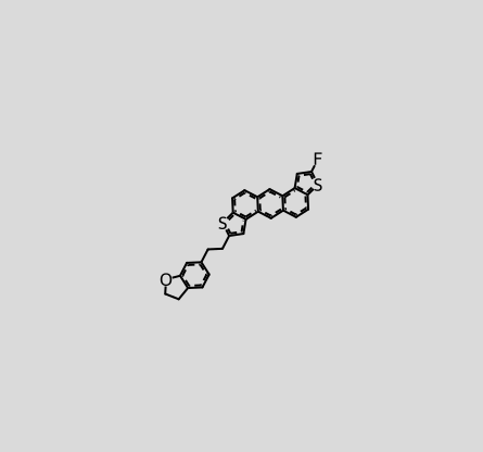 Fc1cc2c(ccc3cc4c(ccc5sc(CCc6ccc7c(c6)OCC7)cc54)cc32)s1